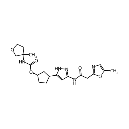 Cc1cnc(CC(=O)Nc2cc([C@H]3CC[C@@H](OC(=O)NC4(C)CCOC4)C3)[nH]n2)o1